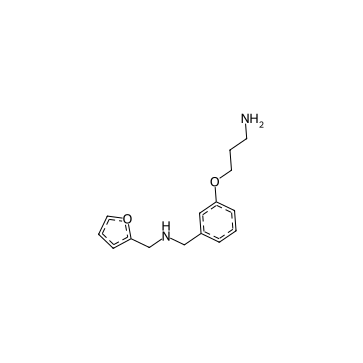 NCCCOc1cccc(CNCc2ccco2)c1